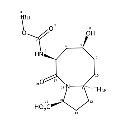 CC(C)(C)OC(=O)N[C@H]1C[C@@H](O)CC[C@H]2CC[C@@H](C(=O)O)N2C1=O